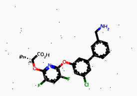 CC(C)[C@@H](Oc1nc(Oc2cc(Cl)cc(-c3cccc(CN)c3)c2)c(F)cc1F)C(=O)O